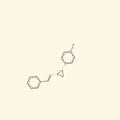 Fc1ccc([C@@H]2C[C@@H]2/C=C/c2ccccc2)cc1